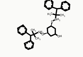 CC(C)([SiH2]O[C@@H]1CC(O)C[C@H](O[SiH2]C(C)(C)C(c2ccccc2)c2ccccc2)C1)C(c1ccccc1)c1ccccc1